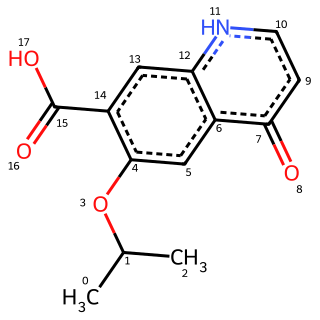 CC(C)Oc1cc2c(=O)cc[nH]c2cc1C(=O)O